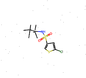 CC(C)(C)[Si](C)(C)NS(=O)(=O)c1csc(Cl)c1